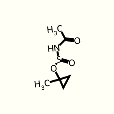 CC(=O)NS(=O)OC1(C)CC1